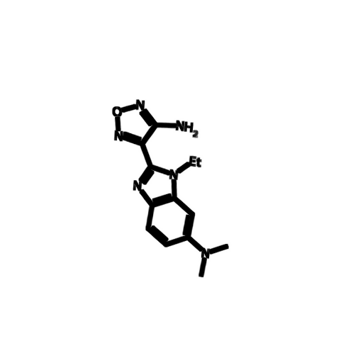 CCn1c(-c2nonc2N)nc2ccc(N(C)C)cc21